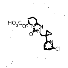 O=C(O)O[C@H]1CCCc2nn(CC3(c4cccc(Cl)n4)CC3)c(=O)n21